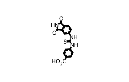 O=C(O)c1ccc(NC(=S)Nc2ccc3c(c2)C(=O)NC3=O)cc1